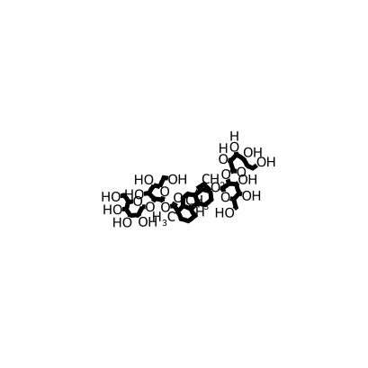 C=C1C[C@@]23CCC4[C@](C)(C(=O)OC5OC(CO)C(O)C(O)C5OC5OC(CO)C(O)C(O)C5O)CCC[C@@]4(C)[C@@H]2CCC1(OC1OC(CO)C(O)C(O)C1OC1OC(CO)C(O)C(O)C1O)C3